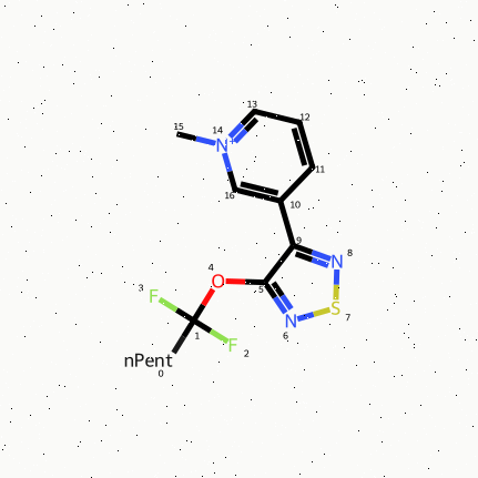 CCCCCC(F)(F)Oc1nsnc1-c1ccc[n+](C)c1